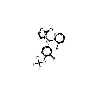 O=c1occn1[C@@H](c1ccc(OC(F)(F)F)c(F)c1)c1ncccc1F